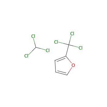 ClC(Cl)(Cl)c1ccco1.ClC(Cl)Cl